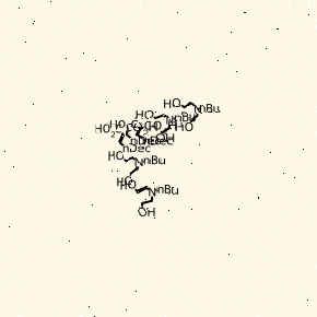 CCCCCCCCCCC=CC(=O)O.CCCCCCCCCCCC(=O)O.CCCCCCCCCCCC(C(=O)O)C(=O)O.CCCCN(CCO)CCO.CCCCN(CCO)CCO.CCCCN(CCO)CCO.CCCCN(CCO)CCO